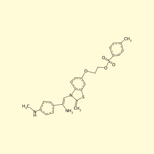 C=C1Sc2cc(OCCOS(=O)(=O)c3ccc(C)cc3)ccc2N1/C=C(\N)c1ccc(NC)cc1